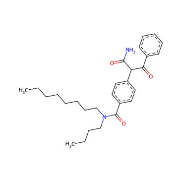 CCCCCCCCN(CCCC)C(=O)c1ccc(C(C(N)=O)C(=O)c2ccccc2)cc1